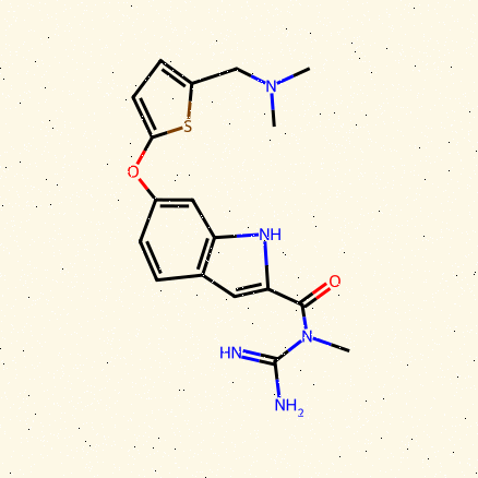 CN(C)Cc1ccc(Oc2ccc3cc(C(=O)N(C)C(=N)N)[nH]c3c2)s1